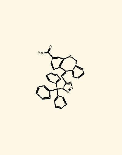 COC(=O)c1ccc2c(c1)SCc1ccccc1C2=Cc1nnnn1C(c1ccccc1)(c1ccccc1)c1ccccc1